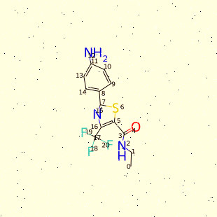 CCNC(=O)c1sc(-c2ccc(N)cc2)nc1C(F)(F)F